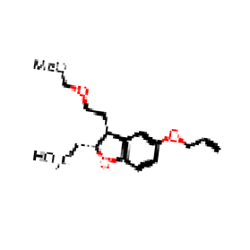 C=CCOc1ccc2c(c1)[C@H](CCOCOC)[C@@H](CC(=O)O)O2